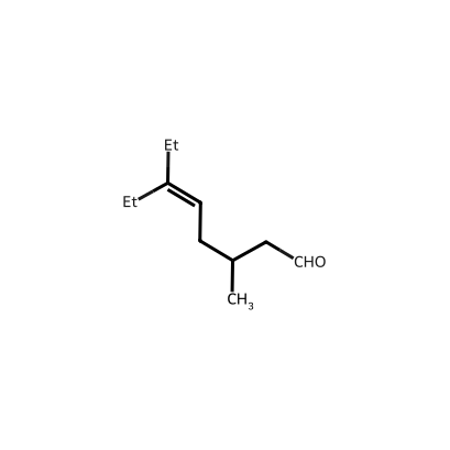 CCC(=CCC(C)CC=O)CC